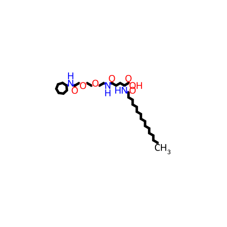 CCCCCCCCCCCCCCCC(=O)NC(CCC(=O)NCCOCCOCC(=O)NC1CCCCCC1)C(=O)O